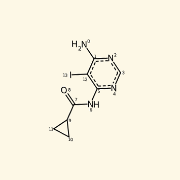 Nc1ncnc(NC(=O)C2CC2)c1I